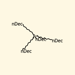 CCCCCCCCCCCCCCCCCCC[N+](CCCCCCCCCC)(CCCCCCCCCCCCCCCCCCC)CCCCCCCCCCCCCCCCCCC